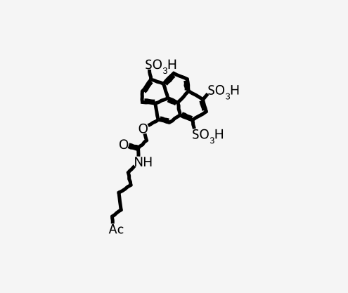 CC(=O)CCCCCNC(=O)COc1cc2c(S(=O)(=O)O)cc(S(=O)(=O)O)c3ccc4c(S(=O)(=O)O)ccc1c4c32